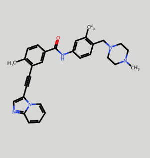 Cc1ccc(C(=O)Nc2ccc(CN3CCN(C)CC3)c(C(F)(F)F)c2)cc1C#Cc1cnc2ccccn12